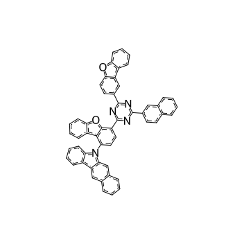 c1ccc2cc(-c3nc(-c4ccc5oc6ccccc6c5c4)nc(-c4ccc(-n5c6ccccc6c6cc7ccccc7cc65)c5c4oc4ccccc45)n3)ccc2c1